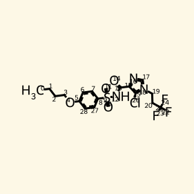 CCCCOc1ccc(S(=O)(=O)NC(=O)c2ncn(CCC(F)(F)F)c2Cl)cc1